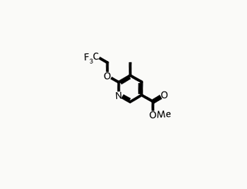 COC(=O)c1cnc(OCC(F)(F)F)c(C)c1